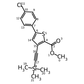 COC(=O)c1sc(-c2ccc(Cl)cc2)cc1C#C[Si](C)(C)C